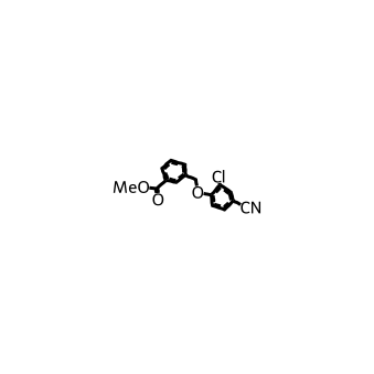 COC(=O)c1cccc(COc2ccc(C#N)cc2Cl)c1